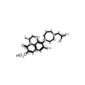 C[C@H]1COc2c(N3CCCN(CC(F)F)CC3)c(F)cc3cc(C(=O)O)c(=O)n1c23